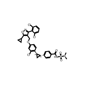 CN(C)S(=O)(=O)NC(=O)c1ccc([C@@H]2C[C@H]2c2ccc(OCc3c(-c4c(Cl)cccc4Cl)noc3C3CC3)cc2Cl)cc1